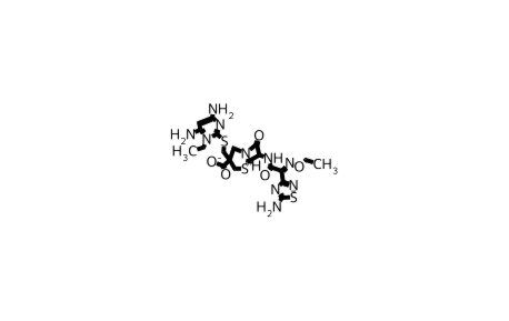 CCON=C(C(=O)NC1C(=O)N2CC(CSc3nc(N)cc(N)[n+]3CC)(C(=O)[O-])CS[C@H]12)c1nsc(N)n1